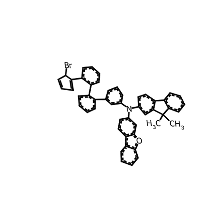 CC1(C)c2ccccc2-c2ccc(N(c3cccc(-c4ccccc4-c4ccccc4C4=CC=CC4Br)c3)c3ccc4c(c3)oc3ccccc34)cc21